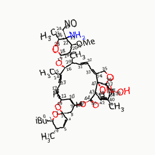 CCC(C)[C@H]1O[C@]2(C=C[C@@H]1C)C[C@@H]1C[C@@H](C/C=C(\C)[C@@H](O[C@H]3C[C@H](OC)C(N)(CN=O)[C@H](C)O3)C(C)/C=C/C=C3\CO[C@@H]4[C@H](O)C(C)=C[C@@H](C(=O)O1)[C@]34O)O2